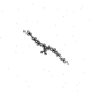 C=CC(=O)OCCCCOC(=O)Cc1ccc(OC(=O)[C@H]2CC[C@H](C(=O)Oc3ccc(OC(=O)[C@H]4CC[C@H](C(=O)Oc5ccc(CC(=O)OCCCCOC(=O)C=C)cc5)CC4)c4c3SC(=C(C#N)C#N)S4)CC2)cc1